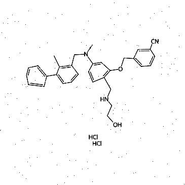 Cc1c(CN(C)c2ccc(CNCCO)c(OCc3cccc(C#N)c3)c2)cccc1-c1ccccc1.Cl.Cl